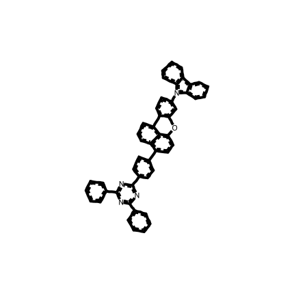 c1ccc(-c2nc(-c3ccccc3)nc(-c3ccc(-c4ccc5c6c(cccc46)-c4ccc(-n6c7ccccc7c7ccccc76)cc4O5)cc3)n2)cc1